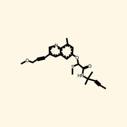 CC#CC(C)(C)NC(=O)C(Oc1cc(C)c2ncc(C#CCOC)cc2c1)SC